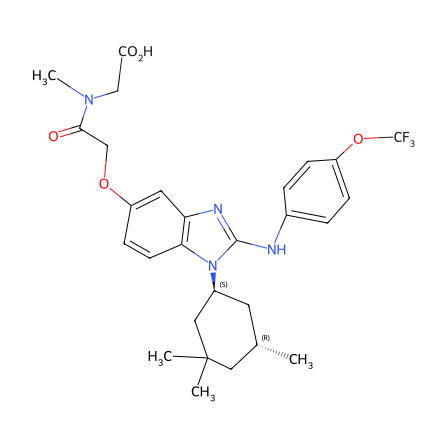 C[C@H]1C[C@H](n2c(Nc3ccc(OC(F)(F)F)cc3)nc3cc(OCC(=O)N(C)CC(=O)O)ccc32)CC(C)(C)C1